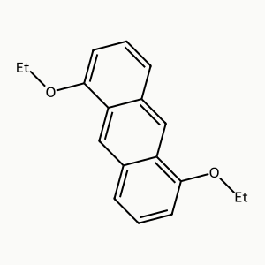 CCOc1cccc2cc3c(OCC)cccc3cc12